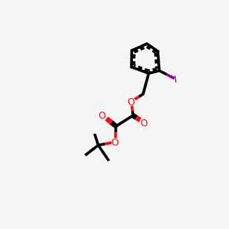 CC(C)(C)OC(=O)C(=O)OCc1ccccc1I